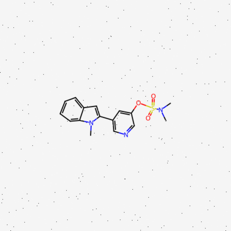 CN(C)S(=O)(=O)Oc1cncc(-c2cc3ccccc3n2C)c1